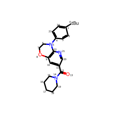 CC(C)(C)c1ccc(N2CCOc3cc(C(=O)N4CCCCC4)cnc32)cc1